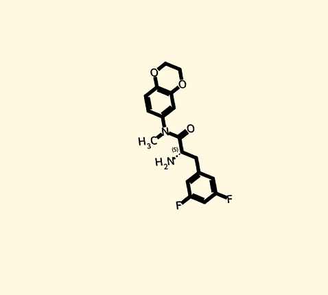 CN(C(=O)[C@@H](N)Cc1cc(F)cc(F)c1)c1ccc2c(c1)OCCO2